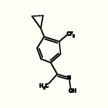 CC(=NO)c1ccc(C2CC2)c(C(F)(F)F)c1